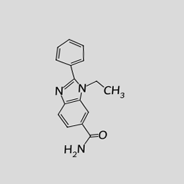 CCn1c(-c2ccccc2)nc2ccc(C(N)=O)cc21